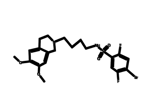 COc1cc2c(cc1OC)CN(CCCCNS(=O)(=O)c1cc(F)c(Br)cc1F)CC2